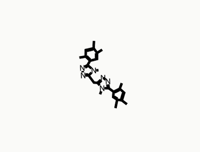 Cc1cc(C)c(-c2nnc(Cc3nnc(-c4cc(C)c(C)cc4C)n3C)n2C)cc1C